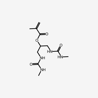 C=C(C)C(=O)OC(CNC(=O)NC)CNC(=O)NC